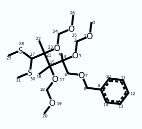 COCOC(C)(COCc1ccccc1)C(C)(OCOC)C(C)(OCOC)C(SC)SC